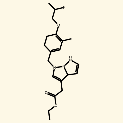 CCOC(=O)CC1=CN(CC2=CC(C)=C(OCC(C)F)CC2)N2NC=CC12